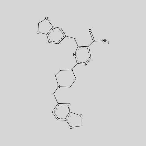 NC(=O)c1cnc(N2CCN(Cc3ccc4c(c3)OCO4)CC2)nc1[CH]c1ccc2c(c1)OCO2